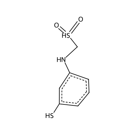 O=[SH](=O)CNc1cccc(S)c1